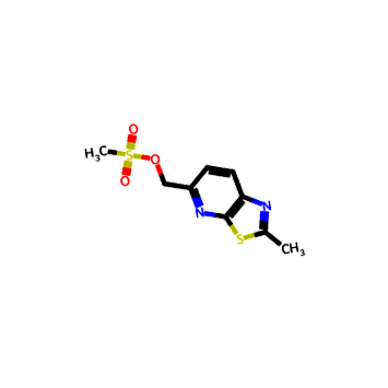 Cc1nc2ccc(COS(C)(=O)=O)nc2s1